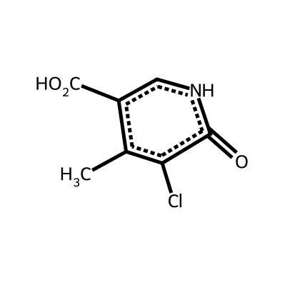 Cc1c(C(=O)O)c[nH]c(=O)c1Cl